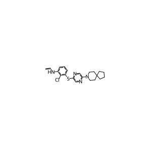 C=CNc1cccc(Sc2cnc(N3CCC4(CCCC4)CC3)cn2)c1Cl